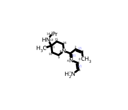 C\C=C/C(=N\C=C/N)N1CCC(C)(NC(C)C)CC1